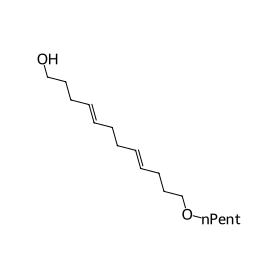 CCCCCOCCCC=CCCC=CCCCO